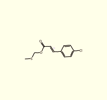 CSCOC(=O)/C=C/c1ccc(Cl)cc1